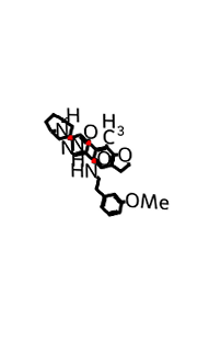 COc1cccc(CCNC(=O)c2ccc(N3C4CC[C@H]3CC(NC(=O)c3ccc5c(c3C)OCC5)C4)nc2)c1